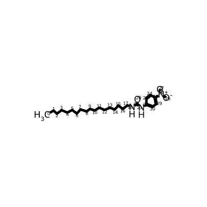 CCCCCCCCCCCCCCCCCCNC(=O)Nc1ccc([N+](=O)[O-])cc1